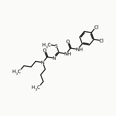 CCCCN(CCCC)C(=O)N=C(NC(=O)Nc1ccc(Cl)c(Cl)c1)SC